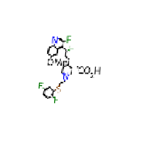 COc1ccc2ncc(F)c([C@@H](F)CC[C@@H]3CCN(CCSc4cc(F)ccc4F)C[C@H]3CC(=O)O)c2c1